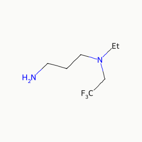 CCN(CCCN)CC(F)(F)F